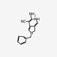 N#CC1=C(N)NC=C2CN(Cc3ccccc3)C=C21